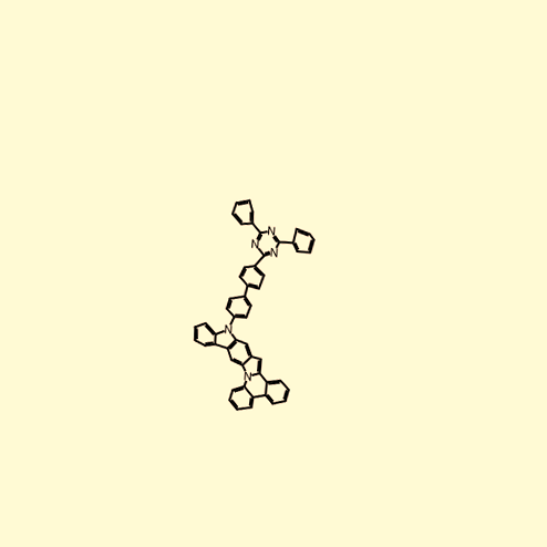 c1ccc(-c2nc(-c3ccccc3)nc(-c3ccc(-c4ccc(-n5c6ccccc6c6cc7c(cc65)cc5c6ccccc6c6ccccc6n75)cc4)cc3)n2)cc1